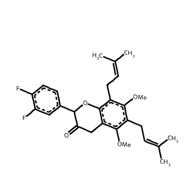 COc1c(CC=C(C)C)c(OC)c2c(c1CC=C(C)C)OC(c1ccc(F)c(F)c1)C(=O)C2